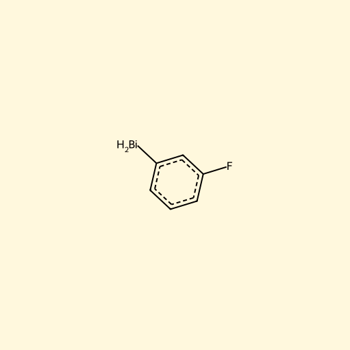 Fc1ccc[c]([BiH2])c1